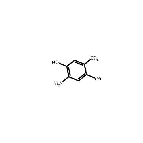 CCCc1cc(N)c(O)cc1C(F)(F)F